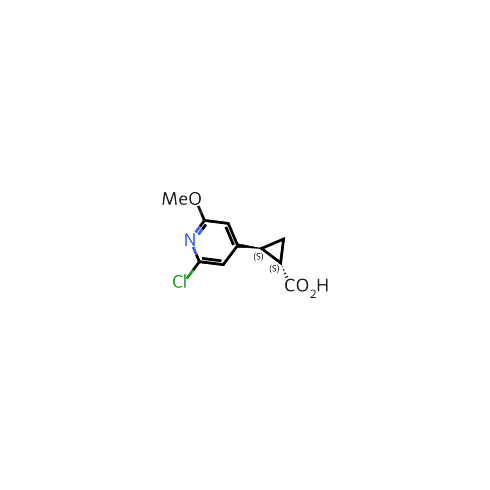 COc1cc([C@H]2C[C@@H]2C(=O)O)cc(Cl)n1